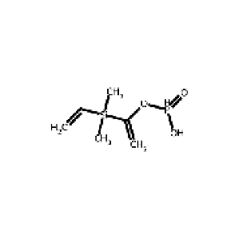 C=C[Si](C)(C)C(=C)O[PH](=O)O